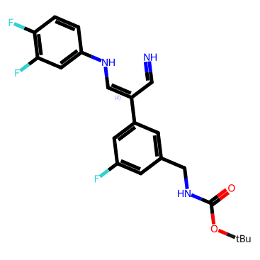 CC(C)(C)OC(=O)NCc1cc(F)cc(/C(C=N)=C/Nc2ccc(F)c(F)c2)c1